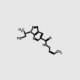 C/C=C\CNC(=O)c1cnc2c(cnn2C(C)CS)c1